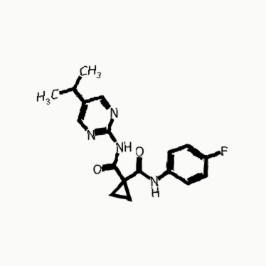 CC(C)c1cnc(NC(=O)C2(C(=O)Nc3ccc(F)cc3)CC2)nc1